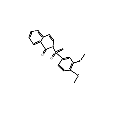 COc1ccc(S(=O)(=O)n2ccc3ccccc3c2=O)cc1OC